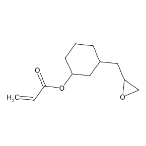 C=CC(=O)OC1CCCC(CC2CO2)C1